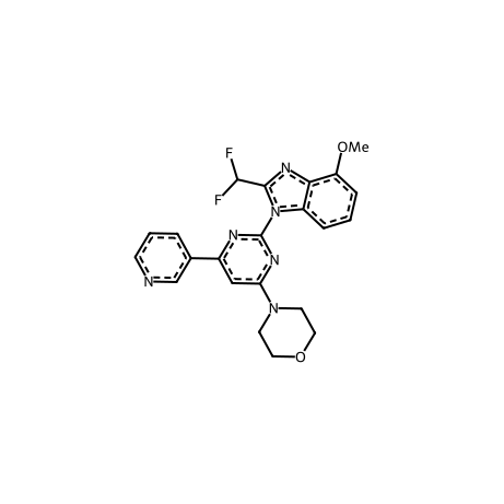 COc1cccc2c1nc(C(F)F)n2-c1nc(-c2cccnc2)cc(N2CCOCC2)n1